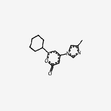 Cc1cn(-c2cc(C3CCCCC3)oc(=O)c2)cn1